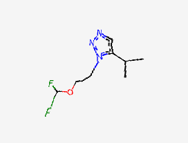 CC(C)c1cnnn1CCOC(F)F